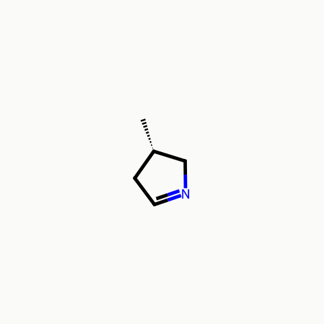 C[C@H]1CC=NC1